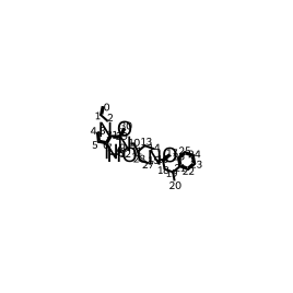 C=CCn1ccc2ncn(CC3(O)CCN(C(=O)CC(C)c4ccccc4)CC3)c(=O)c21